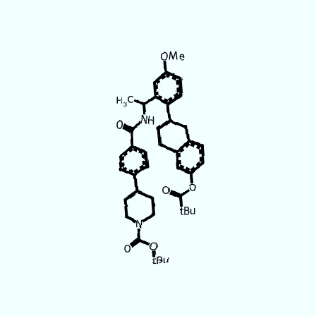 COc1ccc(C2CCc3cc(OC(=O)C(C)(C)C)ccc3C2)c(C(C)NC(=O)c2ccc(C3CCN(C(=O)OC(C)(C)C)CC3)cc2)c1